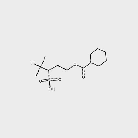 O=C(OCCC(C(F)(F)F)S(=O)(=O)O)C1CCCCC1